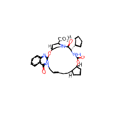 O=C1N[C@@H](C2CCCC2)C(=O)N2C[C@@H](C[C@H]2C(=O)O)Oc2nc3ccccc3c(=O)n2C/C=C/CC[C@@H]2CCC[C@H]2O1